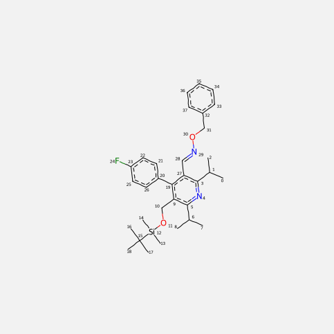 CC(C)c1nc(C(C)C)c(CO[Si](C)(C)C(C)(C)C)c(-c2ccc(F)cc2)c1C=NOCc1ccccc1